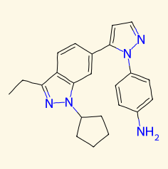 CCc1nn(C2CCCC2)c2cc(-c3ccnn3-c3ccc(N)cc3)ccc12